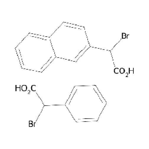 O=C(O)C(Br)c1ccc2ccccc2c1.O=C(O)C(Br)c1ccccc1